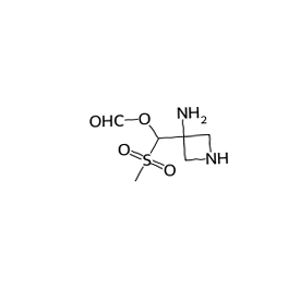 CS(=O)(=O)C(OC=O)C1(N)CNC1